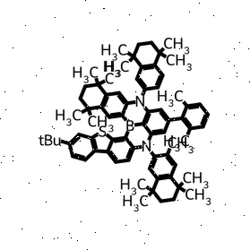 Cc1cc2c(cc1N1c3cc(-c4c(C)cccc4C)cc4c3B(c3cc5c(cc3N4c3ccc4c(c3)C(C)(C)CCC4(C)C)C(C)(C)CCC5(C)C)c3c1ccc1c3sc3cc(C(C)(C)C)ccc31)C(C)(C)CCC2(C)C